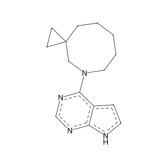 c1nc(N2CCCCCC3(CC3)C2)c2cc[nH]c2n1